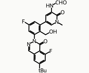 Cn1cc(-c2cc(F)cc(-n3ncc4cc(C(C)(C)C)cc(F)c4c3=O)c2CO)cc(NC=O)c1=O